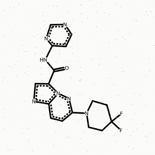 O=C(Nc1ccncn1)c1cnc2ccc(N3CCC(F)(F)CC3)nn12